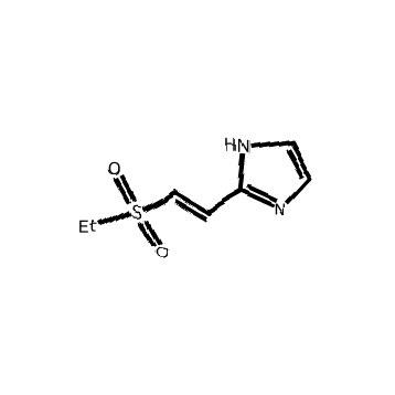 CCS(=O)(=O)/C=C/c1ncc[nH]1